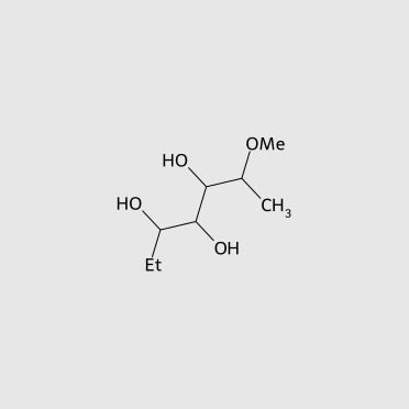 CCC(O)C(O)C(O)C(C)OC